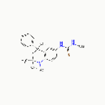 CC(=O)N1c2ccc(NC(=S)NC(C)(C)C)cc2C(C)(c2ccccc2)CC1(C)C